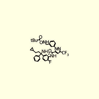 CC(C)(C)C(=O)ONCc1cccc(-n2nc(C(F)(F)F)cc2C(=O)Nc2cc(C(N)(CCC3CC3)c3ccccc3)ccc2F)c1